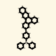 c1ccc(N(c2ccccc2)c2ccc(-c3ccc4c(c3)c3ccccc3c3cc5ccccc5cc43)cc2)cc1